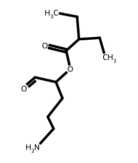 CCC(CC)C(=O)OC(C=O)CCCN